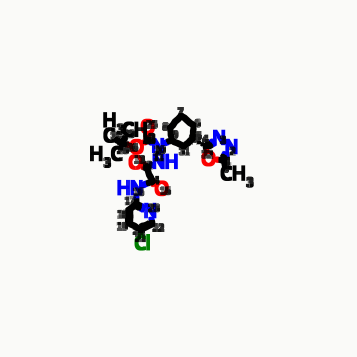 Cc1nnc([C@H]2CCCC(N(NC(=O)C(=O)Nc3ccc(Cl)cn3)C(=O)OC(C)(C)C)C2)o1